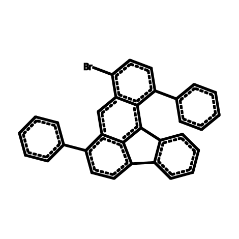 Brc1ccc(-c2ccccc2)c2c3c4c(ccc(-c5ccccc5)c4cc12)-c1ccccc1-3